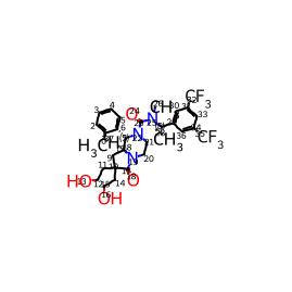 Cc1ccccc1[C@H]1[C@@H]2CC(CCO)(CCO)C(=O)N2CCN1C(=O)N(C)[C@@H](C)c1cc(C(F)(F)F)cc(C(F)(F)F)c1